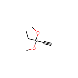 C#C[Si](CC)(OC)OC